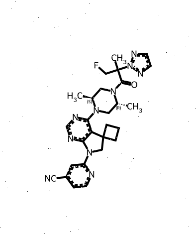 C[C@@H]1CN(c2ncnc3c2C2(CCC2)CN3c2cc(C#N)ccn2)[C@@H](C)CN1C(=O)C(C)(CF)n1nccn1